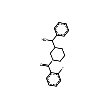 O=C(c1ccccc1Cl)N1CCCC(C(O)c2ccccc2)C1